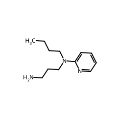 CCCCN(CCCN)c1ccccn1